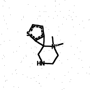 C[N+]1(C)CCNCC12c1ccsc12